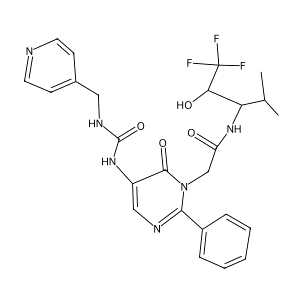 CC(C)C(NC(=O)Cn1c(-c2ccccc2)ncc(NC(=O)NCc2ccncc2)c1=O)C(O)C(F)(F)F